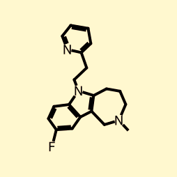 CN1CCCc2c(c3cc(F)ccc3n2CCc2ccccn2)C1